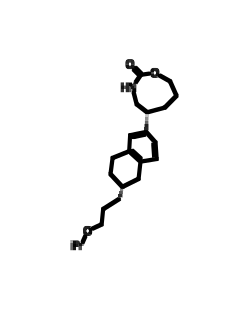 CC(C)OCCC[C@@H]1CCc2cc([C@H]3CCCOC(=O)NC3)ccc2C1